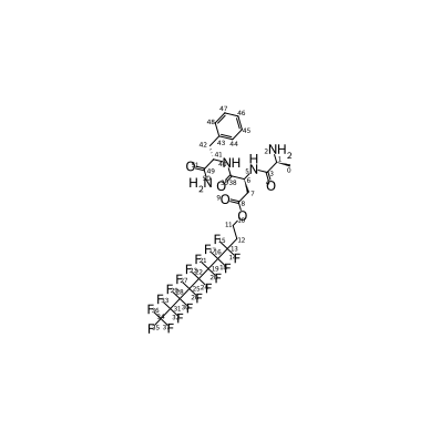 C[C@H](N)C(=O)N[C@@H](CC(=O)OCCC(F)(F)C(F)(F)C(F)(F)C(F)(F)C(F)(F)C(F)(F)C(F)(F)C(F)(F)F)C(=O)N[C@@H](Cc1ccccc1)C(N)=O